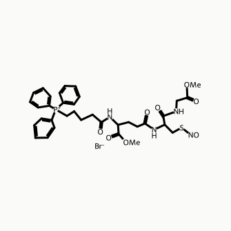 COC(=O)CNC(=O)C(CSN=O)NC(=O)CCC(NC(=O)CCCC[P+](c1ccccc1)(c1ccccc1)c1ccccc1)C(=O)OC.[Br-]